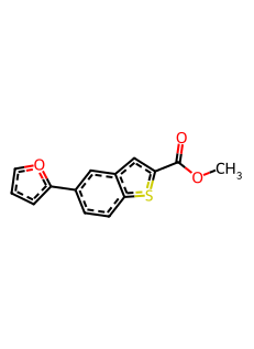 COC(=O)c1cc2cc(-c3ccco3)ccc2s1